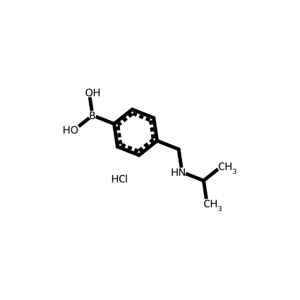 CC(C)NCc1ccc(B(O)O)cc1.Cl